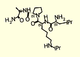 CC(C)C[C@H](N)C(=O)N[C@@H](CCCCNC(C)C)C(=O)N1CCC[C@H]1C(=O)N[C@H](C)C(N)=O